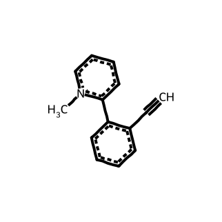 C#Cc1ccccc1-c1cccc[n+]1C